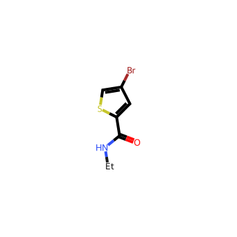 CCNC(=O)c1cc(Br)cs1